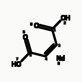 O=C(O)/C=C\C(=O)O.[Nd]